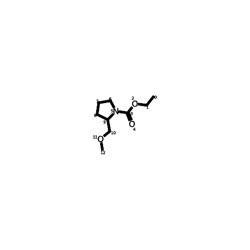 CCOC(=O)N1CCCC1COC